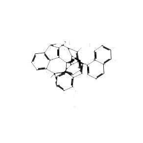 CC1=C(c2cccc3ccccc23)c2c3cccc2C(C)(C)c2cccc4c2C(c2cccc5ccccc25)=C(C)[CH]4[Ti+2][CH]13.[Cl-].[Cl-]